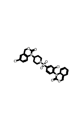 O=C1OCc2cc(Cl)ccc2N1C1CCN(S(=O)(=O)c2ccc(N3C(=O)OC=C4C=CC=CC43)c(Cl)c2)CC1